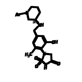 CC(=O)N1CCC[C@@H](NCc2cc(C)c(N3CC(=O)NS3(=O)=O)c(O)c2)C1